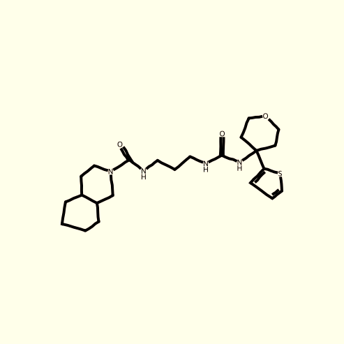 O=C(NCCCNC(=O)N1CCC2CCCCC2C1)NC1(c2cccs2)CCOCC1